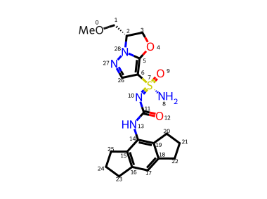 COC[C@@H]1COc2c([S@@](N)(=O)=NC(=O)Nc3c4c(cc5c3CCC5)CCC4)cnn21